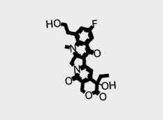 CC[C@@]1(O)C(=O)OCc2c1cc1n(c2=O)Cc2c-1c(=O)c1cc(F)cc(CCO)c1n2C